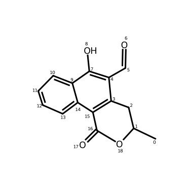 CC1Cc2c(C=O)c(O)c3ccccc3c2C(=O)O1